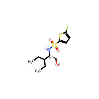 CCC(CC)[C@@H](CO)NS(=O)(=O)c1ccc(F)s1